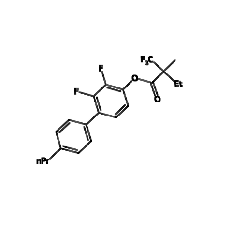 CCCc1ccc(-c2ccc(OC(=O)C(C)(CC)C(F)(F)F)c(F)c2F)cc1